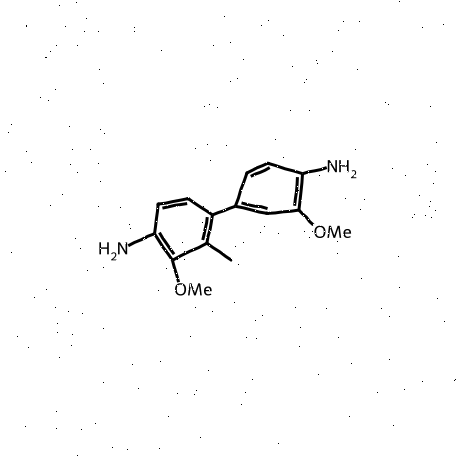 COc1cc(-c2ccc(N)c(OC)c2C)ccc1N